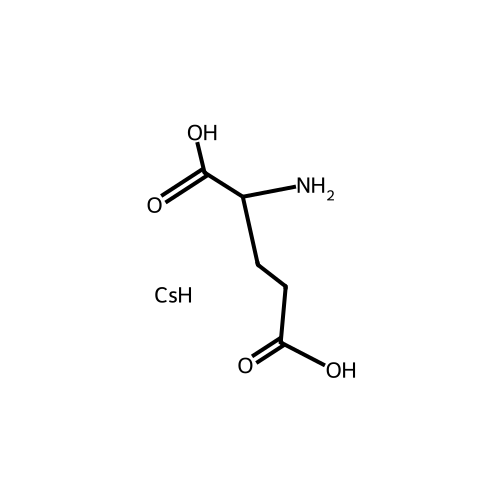 NC(CCC(=O)O)C(=O)O.[CsH]